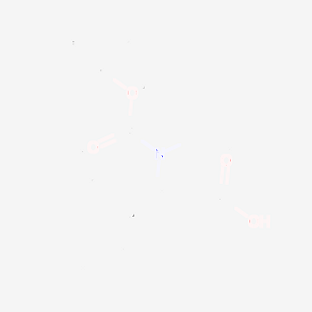 CN(C(=O)OC(C)(C)C)[C@H](CC(=O)O)C1CCCCC1